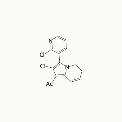 CC(=O)c1c(Cl)c(-c2cccnc2Cl)n2c1C=CCC2